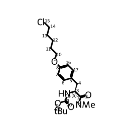 CNC(=O)[C@H](Cc1ccc(OCCCCCCl)cc1)NC(=O)OC(C)(C)C